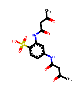 CC(=O)CC(=O)Nc1ccc(S(=O)(=O)O)c(NC(=O)CC(C)=O)c1